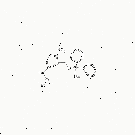 C=C(OCC)c1ccc([N+](=O)[O-])c(CO[Si](c2ccccc2)(c2ccccc2)C(C)(C)C)c1